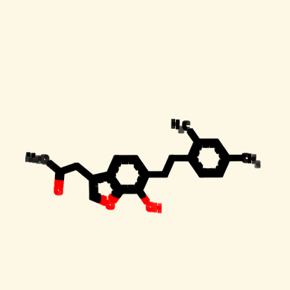 COC(=O)Cc1coc2c(O)c(CCc3ccc(C)cc3C)ccc12